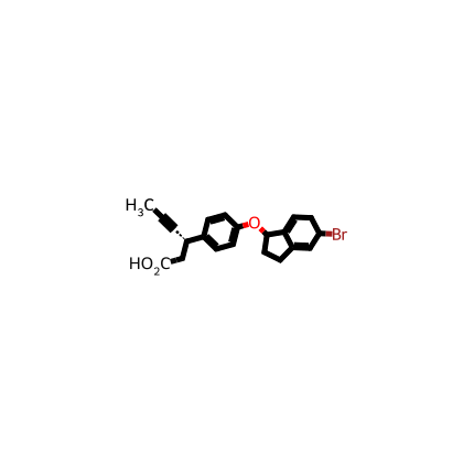 CC#C[C@@H](CC(=O)O)c1ccc(OC2CCC3=CC(Br)CC=C32)cc1